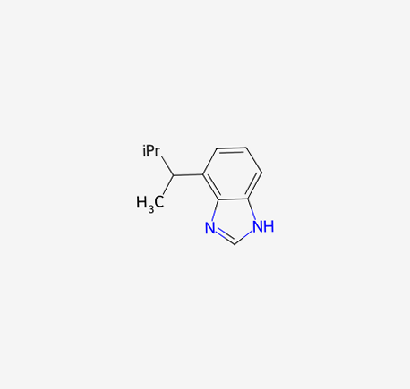 CC(C)C(C)c1cccc2[nH]cnc12